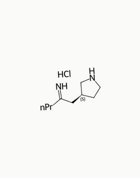 CCCC(=N)C[C@@H]1CCNC1.Cl